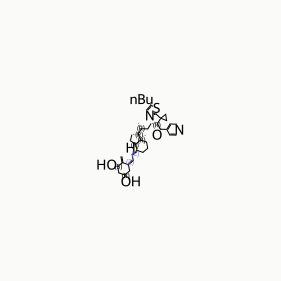 C=C1/C(=C\C=C2/CCC[C@]3(C)[C@@H]([C@H](C)CC[C@@H](C(=O)c4ccncc4)C4(c5ncc(CCCC)s5)CC4)CC[C@@H]23)C[C@@H](O)C[C@@H]1O